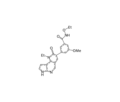 CCONC(=O)c1cc(OC)cc(-c2cc3cnc4[nH]ccc4c3n(CC)c2=O)c1